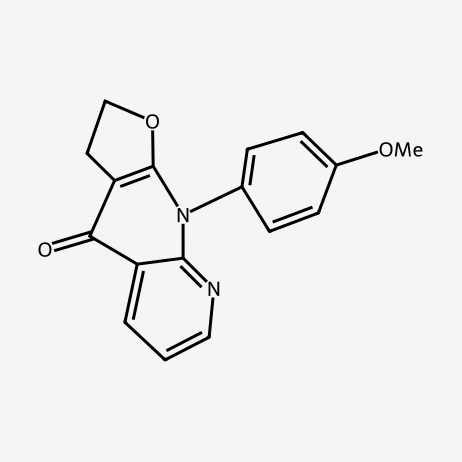 COc1ccc(-n2c3c(c(=O)c4cccnc42)CCO3)cc1